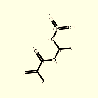 C=C(C)C(=O)OC(C)OP(=O)=O